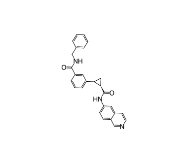 O=C(NCc1ccccc1)c1cccc(C2C[C@H]2C(=O)Nc2ccc3cnccc3c2)c1